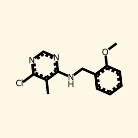 COc1ccccc1CNc1ncnc(Cl)c1C